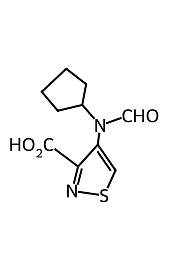 O=CN(c1csnc1C(=O)O)C1CCCC1